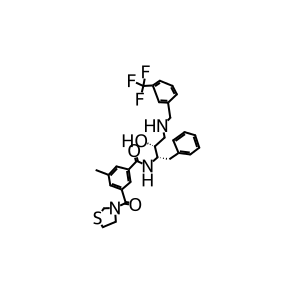 Cc1cc(C(=O)N[C@@H](Cc2ccccc2)[C@H](O)CNCc2cccc(C(F)(F)F)c2)cc(C(=O)N2CCSC2)c1